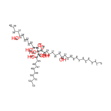 CCCCCCCCCCCCCC(O)CCCCCC(O)C(=O)C(O)(C(=O)C(O)CCCCCC(O)CCCC)C(O)C(O)CCCCCCCCC